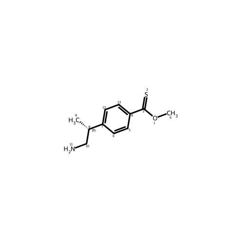 COC(=S)c1ccc([C@@H](C)CN)cc1